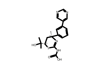 CC(C)(O)[C@@H]1C[C@@](C)(c2cccc(-c3cncnc3)c2)N=C(NC(=O)O)S1